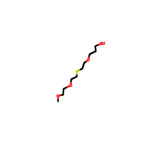 COCCOCCSCCOCCCO